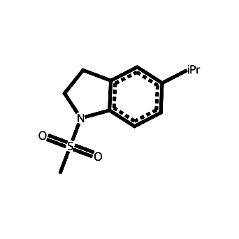 CC(C)c1ccc2c(c1)CCN2S(C)(=O)=O